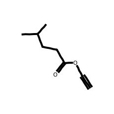 C#COC(=O)CCC(C)C